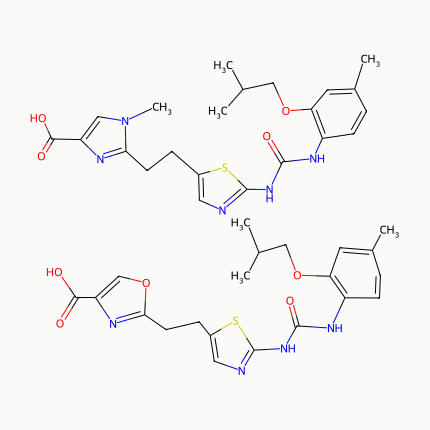 Cc1ccc(NC(=O)Nc2ncc(CCc3nc(C(=O)O)cn3C)s2)c(OCC(C)C)c1.Cc1ccc(NC(=O)Nc2ncc(CCc3nc(C(=O)O)co3)s2)c(OCC(C)C)c1